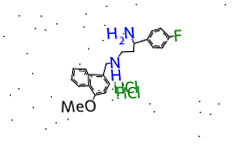 COc1ccc(CNCCC(N)c2ccc(F)cc2)c2ccccc12.Cl.Cl